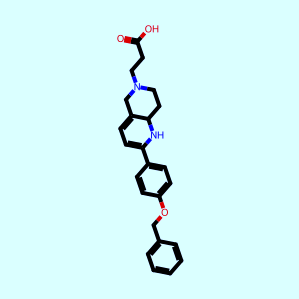 O=C(O)CCN1CCC2NC(c3ccc(OCc4ccccc4)cc3)=CC=C2C1